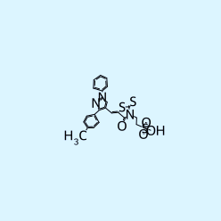 Cc1ccc(-c2nn(-c3ccccc3)cc2/C=C2\SC(=S)N(CCS(=O)(=O)O)C2=O)cc1